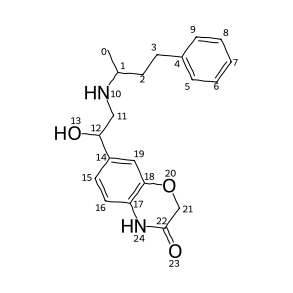 CC(CCc1ccccc1)NCC(O)c1ccc2c(c1)OCC(=O)N2